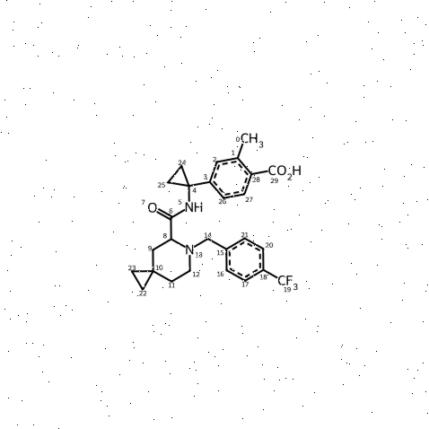 Cc1cc(C2(NC(=O)C3CC4(CCN3Cc3ccc(C(F)(F)F)cc3)CC4)CC2)ccc1C(=O)O